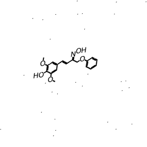 COc1cc(C=CC(COc2ccccc2)=NO)cc(OC)c1O